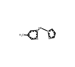 Cc1cnn(Bn2cccn2)c1